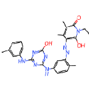 CCn1c(O)c(N=Nc2cc(Nc3nc(O)nc(Nc4cccc(C)c4)n3)ccc2C)c(C)c(C)c1=O